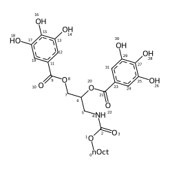 CCCCCCCCOC(=O)NCC(COC(=O)c1cc(O)c(O)c(O)c1)OC(=O)c1cc(O)c(O)c(O)c1